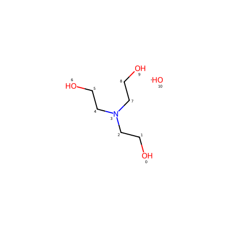 OCCN(CCO)CCO.[OH]